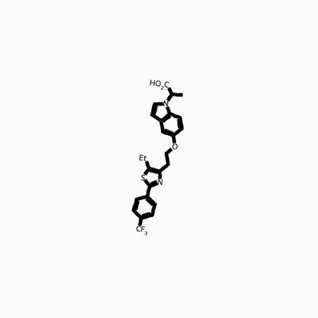 CCc1sc(-c2ccc(C(F)(F)F)cc2)nc1CCOc1ccc2c(ccn2C(C)C(=O)O)c1